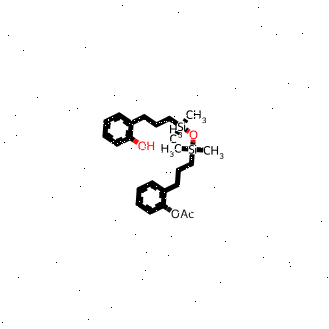 CC(=O)Oc1ccccc1CCC[Si](C)(C)O[Si](C)(C)CCCc1ccccc1O